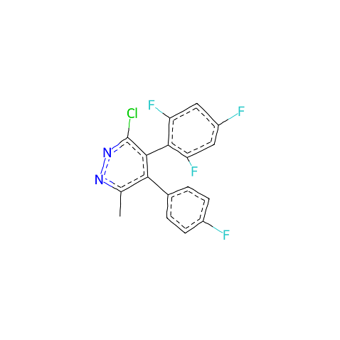 Cc1nnc(Cl)c(-c2c(F)cc(F)cc2F)c1-c1ccc(F)cc1